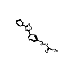 CC(C)(C)C(=O)ONCc1cccc(-c2nc(-c3cccnc3)no2)c1